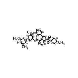 Cc1ccc(S(=O)(=O)n2cc(-c3ccnc(F)c3)c3c(NCc4cc(C(F)(F)F)cc(N5C[C@@H](C)N[C@@H](C)C5)n4)ncnc32)cc1